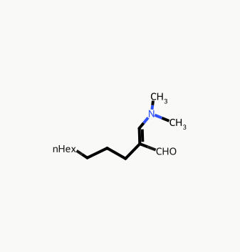 CCCCCCCCC/C(C=O)=C/N(C)C